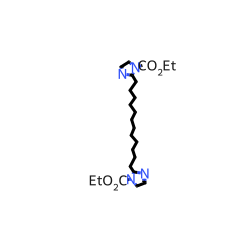 CCOC(=O)N1CC=NC1CCCCCCCCCCCCC1N=CCN1C(=O)OCC